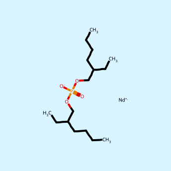 CCCCC(CC)COP(=O)([O-])OCC(CC)CCCC.[Nd+]